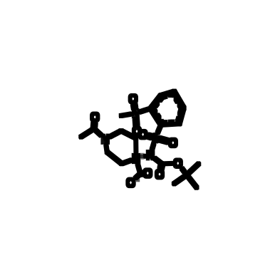 CC(=O)N1CC[N+](C(=O)[O-])(N(C(=O)OC(C)(C)C)S(=O)(=O)c2ccccc2S(C)(=O)=O)CC1